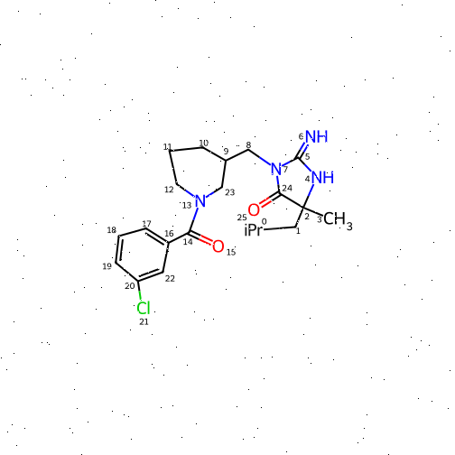 CC(C)CC1(C)NC(=N)N(CC2CCCN(C(=O)c3cccc(Cl)c3)C2)C1=O